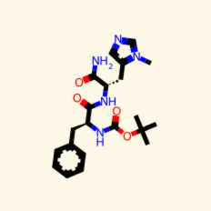 Cn1cncc1C[C@H](NC(=O)[C@H](Cc1ccccc1)NC(=O)OC(C)(C)C)C(N)=O